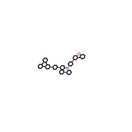 c1ccc(-c2ccccc2N(c2ccc(-c3ccc(-c4ccc5c6ccccc6c6ccccc6c5c4)cc3)cc2)c2ccc(-c3ccc4oc5ccccc5c4c3)cc2)cc1